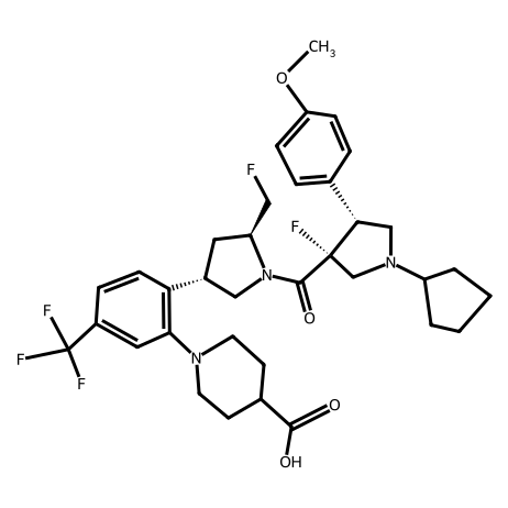 COc1ccc([C@@H]2CN(C3CCCC3)C[C@@]2(F)C(=O)N2C[C@H](c3ccc(C(F)(F)F)cc3N3CCC(C(=O)O)CC3)C[C@H]2CF)cc1